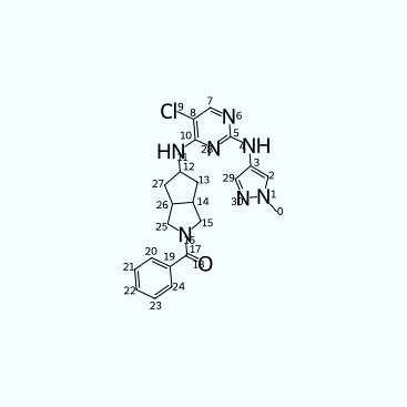 Cn1cc(Nc2ncc(Cl)c(NC3CC4CN(C(=O)c5ccccc5)CC4C3)n2)cn1